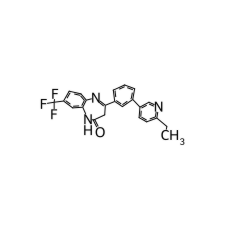 CCc1ccc(-c2cccc(C3=Nc4ccc(C(F)(F)F)cc4NC(=O)C3)c2)cn1